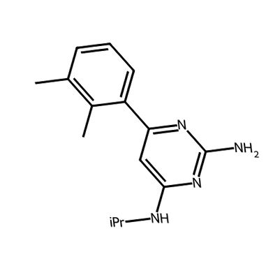 Cc1cccc(-c2cc(NC(C)C)nc(N)n2)c1C